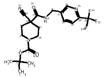 CC(C)(C)OC(=O)N1CCC(C#N)(C(=O)NCc2ccc(C(F)(F)F)nc2)CC1